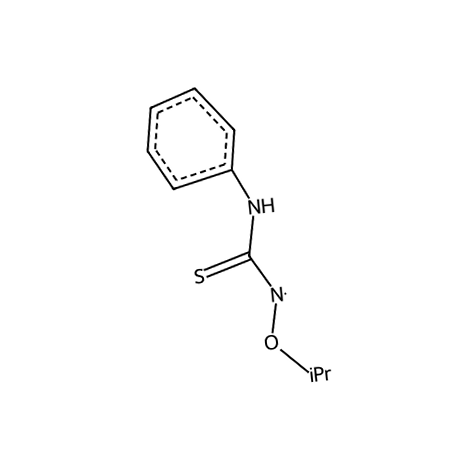 CC(C)O[N]C(=S)Nc1ccccc1